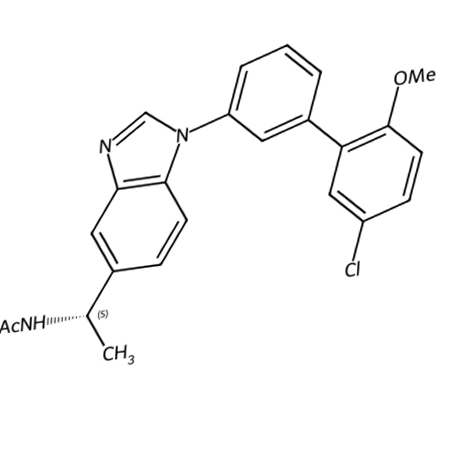 COc1ccc(Cl)cc1-c1cccc(-n2cnc3cc([C@H](C)NC(C)=O)ccc32)c1